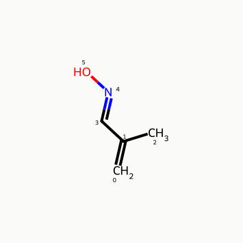 C=C(C)C=NO